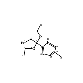 CCOC(CBr)(OCC)c1ncc(C)cn1